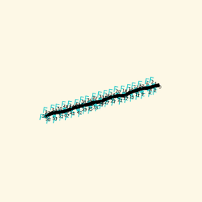 CC(F)(F)C(F)(F)C(F)(F)C(F)(F)C(F)(F)C(F)(F)C(F)(F)C(F)(F)C(F)(F)C(F)(F)C(F)(F)C(F)(F)C(F)(F)C(F)(F)C(F)(F)C(F)(F)C(F)(F)C(F)(F)C(F)(F)F